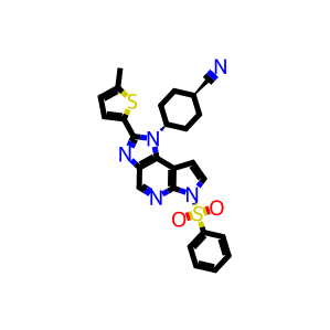 Cc1ccc(-c2nc3cnc4c(ccn4S(=O)(=O)c4ccccc4)c3n2[C@H]2CC[C@H](C#N)CC2)s1